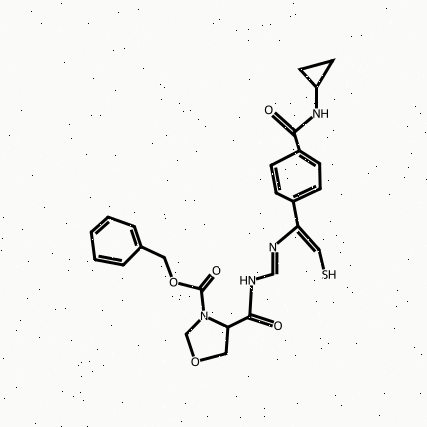 O=C(NC1CC1)c1ccc(C(=C/S)/N=C/NC(=O)C2COCN2C(=O)OCc2ccccc2)cc1